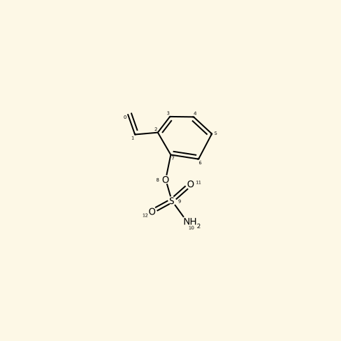 C=Cc1ccccc1OS(N)(=O)=O